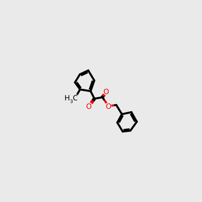 Cc1ccccc1C(=O)C(=O)OCc1ccccc1